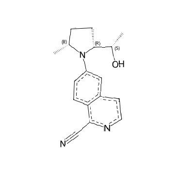 C[C@H](O)[C@H]1CC[C@@H](C)N1c1ccc2c(C#N)nccc2c1